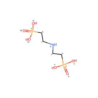 O=P(O)(O)CCNCCP(=O)(O)O